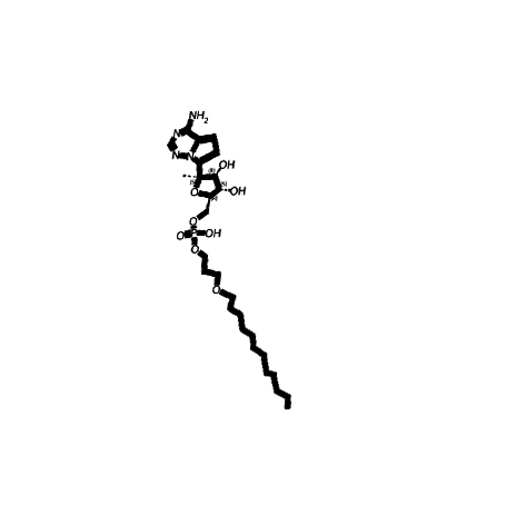 CCCCCCCCCCCCOCCCOP(=O)(O)OC[C@H]1O[C@@](C)(c2ccc3c(N)ncnn23)[C@H](O)[C@@H]1O